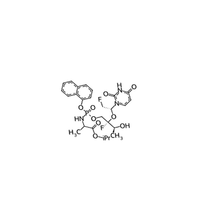 CC(C)OC(=O)C(C)NP(=O)(OC[C@@](F)(O[C@H](CF)n1ccc(=O)[nH]c1=O)[C@H](C)O)Oc1cccc2ccccc12